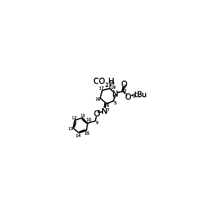 CC(C)(C)OC(=O)N1CC(=NOCc2ccccc2)CC[C@H]1C(=O)O